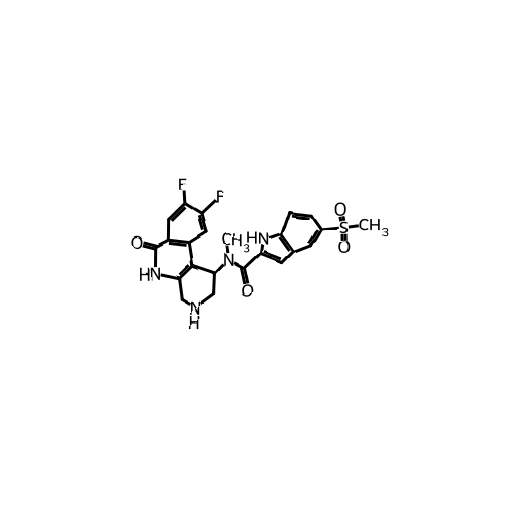 CN(C(=O)c1cc2cc(S(C)(=O)=O)ccc2[nH]1)C1CNCc2[nH]c(=O)c3cc(F)c(F)cc3c21